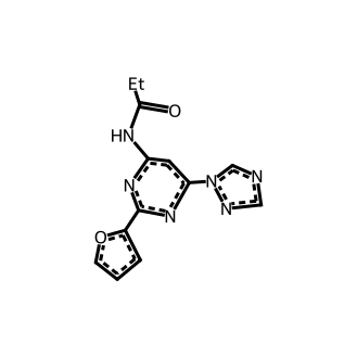 CCC(=O)Nc1cc(-n2cncn2)nc(-c2ccco2)n1